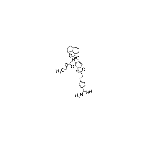 CCOC(=O)CN(c1ccc2oc(CCc3ccc(C(=N)N)cc3)nc2c1)S(=O)(=O)c1cccc2cccnc12